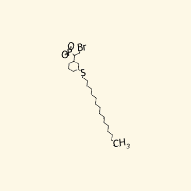 CCCCCCCCCCCCCCCCSC1CCCC(C(CBr)P(=O)=O)C1